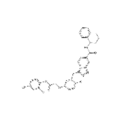 O=C(COc1ccc(Cl)c(Cn2nnc3cc(C(=O)NC4CCCc5ccccc54)ccc32)c1)Oc1ccc(Cl)cc1Cl